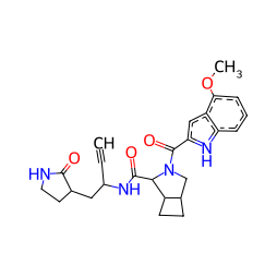 C#CC(CC1CCNC1=O)NC(=O)C1C2CCC2CN1C(=O)c1cc2c(OC)cccc2[nH]1